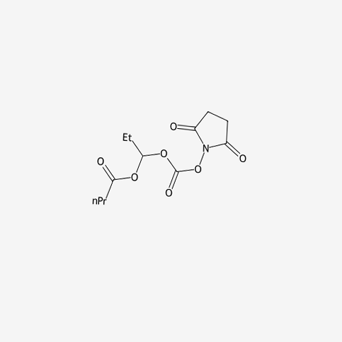 CCCC(=O)OC(CC)OC(=O)ON1C(=O)CCC1=O